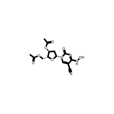 CC(=O)OC[C@H]1O[C@@H](n2cc(C#N)c(NO)nc2=O)C[C@@H]1OC(C)=O